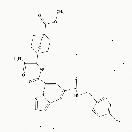 COC(=O)C12CCC(C(NC(=O)c3cc(C(=O)NCc4ccc(F)cc4)nc4ccnn34)C(N)=O)(CC1)CC2